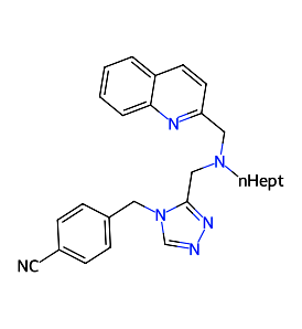 CCCCCCCN(Cc1ccc2ccccc2n1)Cc1nncn1Cc1ccc(C#N)cc1